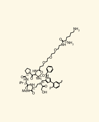 CNC(=O)[C@H](CCN(C(=O)CO)[C@@H](c1cc(-c2cc(F)ccc2F)cn1Cc1ccccc1)C(C)(C)C)NC(=O)[C@@H](NC(=O)[C@@H]1CCCN1C(=O)[C@H](CC(=O)O)NC(=O)CCOCCOCCOCCNC(=O)[C@@H](N)CCCCN)C(C)C